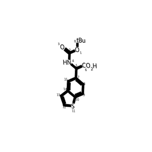 CC(C)(C)OC(=O)NC(C(=O)O)c1ccc2sccc2c1